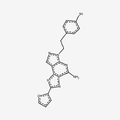 Nc1nc2c(cnn2CCc2ccc(S)cc2)c2nc(-c3ccco3)nn12